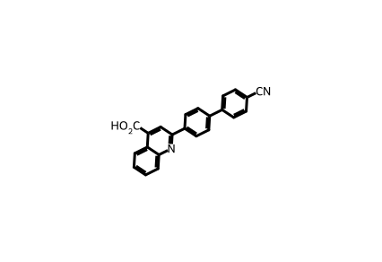 N#Cc1ccc(-c2ccc(-c3cc(C(=O)O)c4ccccc4n3)cc2)cc1